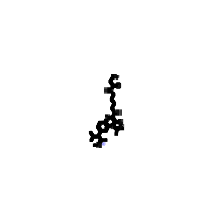 C/N=C(/C)C(=C(C)C)c1ccc2nc(NCCCCNC(=O)CC(C)C)c3nnc(C)n3c2c1